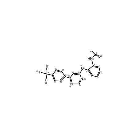 CC(=O)Nc1ccccc1Oc1cc(-c2ccc(C(F)(F)F)cc2)ncn1